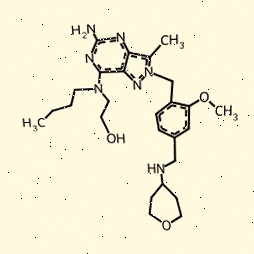 CCCCN(CCO)c1nc(N)nc2c(C)n(Cc3ccc(CNC4CCOCC4)cc3OC)nc12